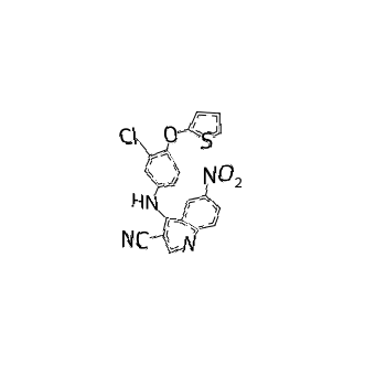 N#Cc1cnc2ccc([N+](=O)[O-])cc2c1Nc1ccc(Oc2cccs2)c(Cl)c1